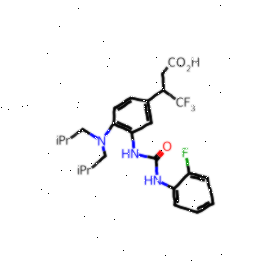 CC(C)CN(CC(C)C)c1ccc(C(CC(=O)O)C(F)(F)F)cc1NC(=O)Nc1ccccc1F